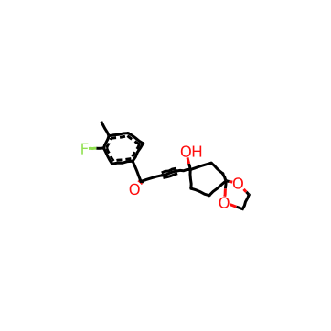 Cc1ccc(C(=O)C#CC2(O)CCC3(CC2)OCCO3)cc1F